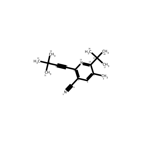 Cc1cc(C#N)c(C#CC(C)(C)C)nc1C(C)(C)C